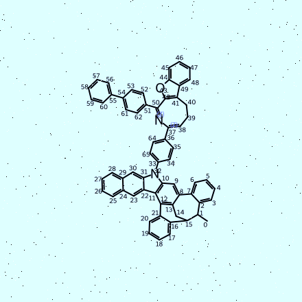 CC1c2ccccc2-c2cc3c(c4c2CC1c1ccccc1-4)c1cc2ccccc2cc1n3-c1ccc(C2=C/CCc3c(oc4ccccc34)/C(c3ccc(-c4ccccc4)cc3)=N\2)cc1